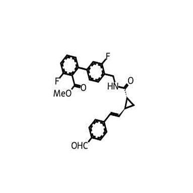 COC(=O)c1c(F)cccc1-c1ccc(CNC(=O)[C@@H]2C[C@H]2C=Cc2ccc(C=O)cc2)c(F)c1